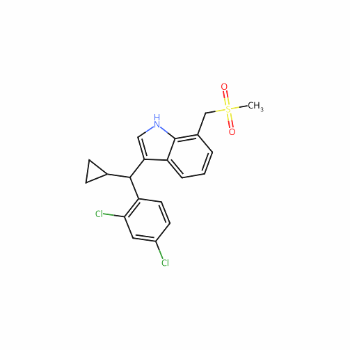 CS(=O)(=O)Cc1cccc2c(C(c3ccc(Cl)cc3Cl)C3CC3)c[nH]c12